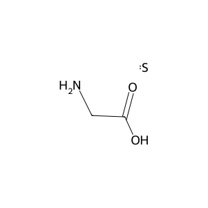 NCC(=O)O.[S]